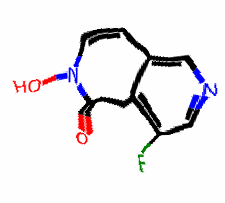 O=c1c2c(F)cncc2ccn1O